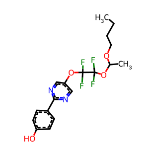 CCCCOC(C)OC(F)(F)C(F)(F)Oc1cnc(-c2ccc(O)cc2)nc1